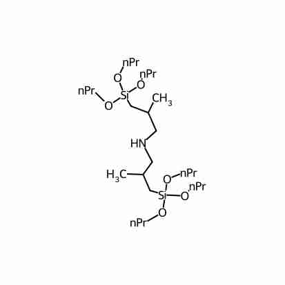 CCCO[Si](CC(C)CNCC(C)C[Si](OCCC)(OCCC)OCCC)(OCCC)OCCC